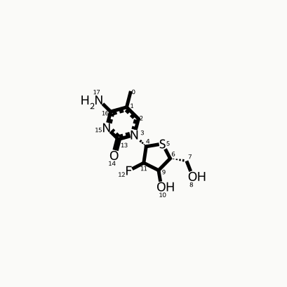 Cc1cn([C@@H]2S[C@H](CO)C(O)C2F)c(=O)nc1N